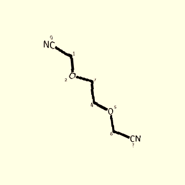 N#CCOCCOCC#N